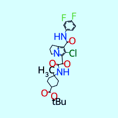 CC1(NC(=O)C(=O)c2c(Cl)c(C(=O)Nc3ccc(F)c(F)c3)c3n2CCC3)CCC(C(=O)OC(C)(C)C)CC1